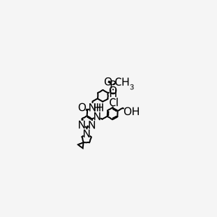 C[PH](=O)OC1CCC(CNC(=O)c2cnc(N3CCC4(CC4)C3)nc2NCc2ccc(CO)c(Cl)c2)CC1